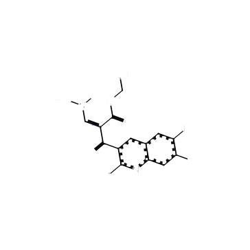 CCOC(=O)/C(=C\N(C)C)C(=O)c1cc2cc(F)c(Cl)cc2nc1Cl